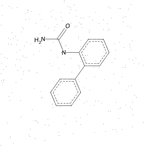 NC(=O)[N]c1ccccc1-c1ccccc1